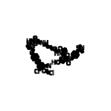 Cc1ncsc1-c1ccc(CNC(=O)[C@@H]2C[C@@H](O)CN2C(=O)[C@@H](NC(=O)COCCCCCNCCS(=O)(=O)Nc2nccc(COc3ccc(C(C)(C)c4cc(Cl)c(OCCCl)c(C#N)c4)cc3)n2)C(C)(C)C)cc1